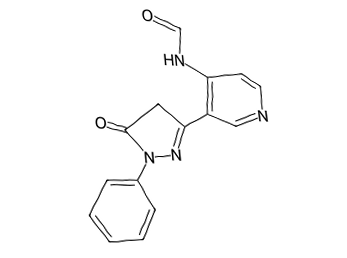 O=CNc1ccncc1C1=NN(c2ccccc2)C(=O)C1